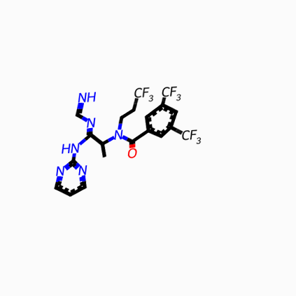 CC(/C(=N/C=N)Nc1ncccn1)N(CCC(F)(F)F)C(=O)c1cc(C(F)(F)F)cc(C(F)(F)F)c1